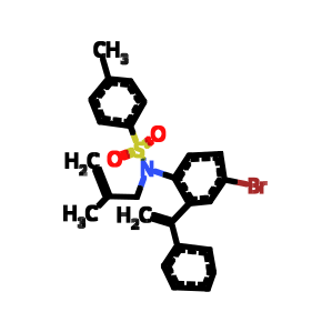 C=C(C)CN(c1ccc(Br)cc1C(=C)c1ccccc1)S(=O)(=O)c1ccc(C)cc1